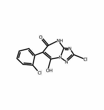 O=c1[nH]c2nc(Cl)nn2c(O)c1-c1ccccc1Cl